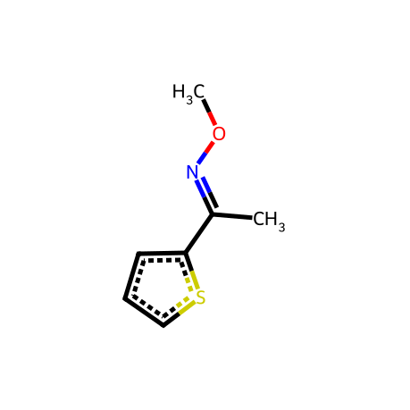 CON=C(C)c1cccs1